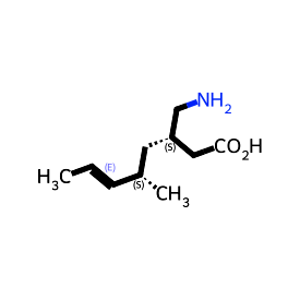 C/C=C/[C@@H](C)C[C@H](CN)CC(=O)O